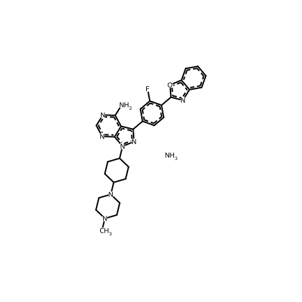 CN1CCN(C2CCC(n3nc(-c4ccc(-c5nc6ccccc6o5)c(F)c4)c4c(N)ncnc43)CC2)CC1.N